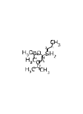 CCC[SiH2]C(=COC(C)C)OC(C)C